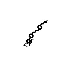 C/C=C/CCC1CCC(CC/C=C/C2CC=C(c3ccc(OCC)c(F)c3F)CC2)CC1